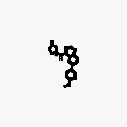 COc1ccc(-c2ccc3ncnc(N[C@H]4CCNC4)c3c2)cn1